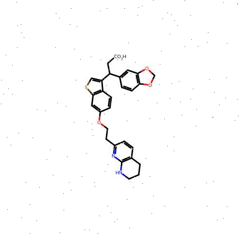 O=C(O)CC(c1ccc2c(c1)OCO2)c1csc2cc(OCCc3ccc4c(n3)NCCC4)ccc12